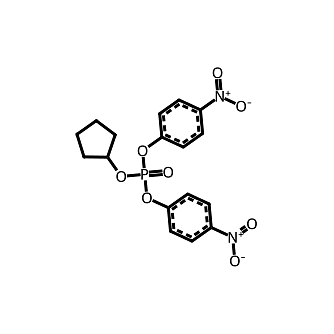 O=[N+]([O-])c1ccc(OP(=O)(Oc2ccc([N+](=O)[O-])cc2)OC2CCCC2)cc1